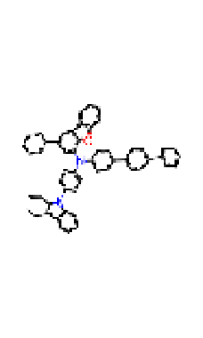 C1=Cc2c(c3ccccc3n2-c2ccc(N(c3ccc(-c4ccc(-c5ccccc5)cc4)cc3)c3cc(-c4ccccc4)cc4c3oc3ccccc34)cc2)CC1